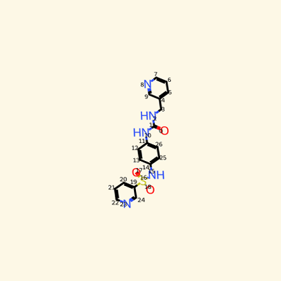 O=C(NCc1cccnc1)Nc1ccc(NS(=O)(=O)c2cccnc2)cc1